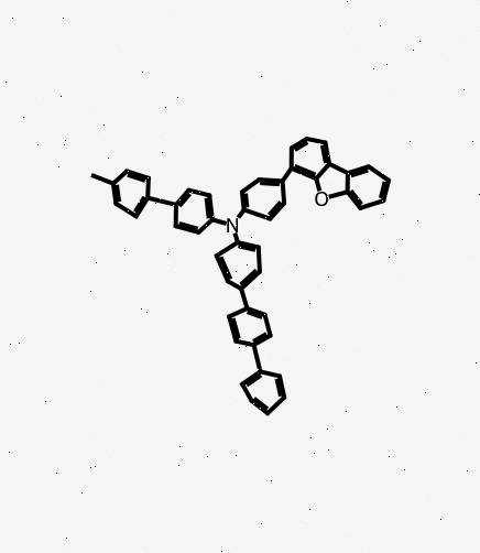 Cc1ccc(-c2ccc(N(c3ccc(-c4ccc(-c5ccccc5)cc4)cc3)c3ccc(-c4cccc5c4oc4ccccc45)cc3)cc2)cc1